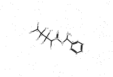 CC([O][Sn](=[O])[CH](F)C(F)(F)C(F)(F)C(F)F)c1ccccc1